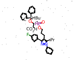 CC(C)c1c(CCCO[PH](=O)C[C@H](CC(=O)O)O[Si](c2ccccc2)(c2ccccc2)C(C)(C)C)c(-c2ccc(F)cc2)nn1-c1ccccc1